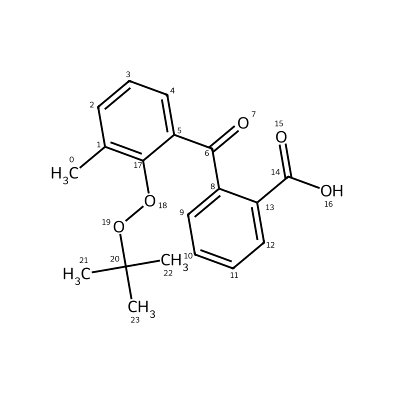 Cc1cccc(C(=O)c2ccccc2C(=O)O)c1OOC(C)(C)C